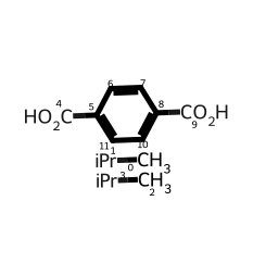 CC(C)C.CC(C)C.O=C(O)c1ccc(C(=O)O)cc1